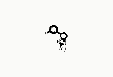 O=C(O)c1nc2n(n1)C(c1cccc(F)c1)CC2